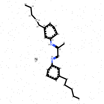 CCCCCc1cccc(N=CC(C)=Nc2cccc(CCCCC)c2)c1.[Ni]